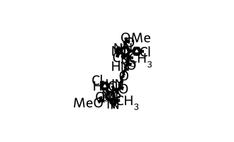 COC(=O)C[C@@H]1N=C(c2ccc(Cl)cc2)c2c(sc(C(=O)NCCOCCNC(=O)c3sc4c(c3C)C(c3ccc(Cl)cc3)=N[C@@H](CC(=O)OC)c3nnc(C)n3-4)c2C)-n2c(C)nnc21